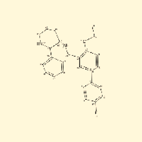 CCOc1ccc(-c2ccc(F)cc2)cc1CN[C@H]1CCCNC1c1ccccc1